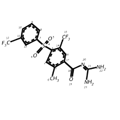 Cc1cc(S(=O)(=O)c2cccc(C(F)(F)F)c2)c(C(F)(F)F)cc1C(=O)N=C(N)N